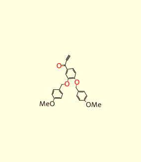 C#CC(=O)c1ccc(OCc2ccc(OC)cc2)c(OCc2ccc(OC)cc2)c1